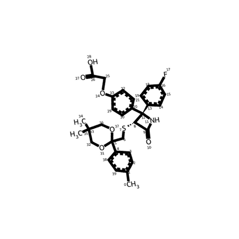 Cc1ccc(C2(CS[C@H]3C(=O)N[C@@]3(c3ccc(F)cc3)c3ccc(OCC(=O)O)cc3)OCC(C)(C)CO2)cc1